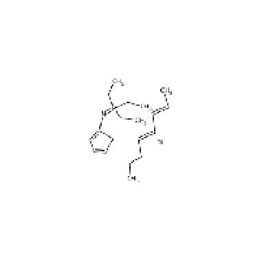 CC=CC=CCCC.CCP(CC)(CC)=NC1=CC=CC1.[Ti]